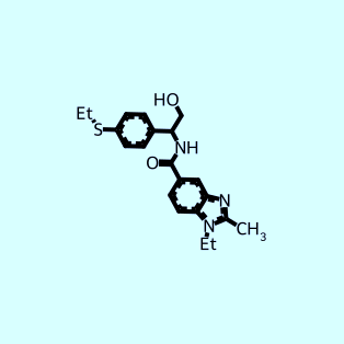 CCSc1ccc(C(CO)NC(=O)c2ccc3c(c2)nc(C)n3CC)cc1